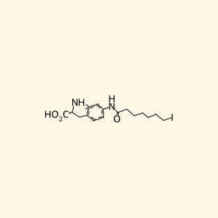 N[C@@H](Cc1ccc(NC(=O)CCCCCCI)cc1)C(=O)O